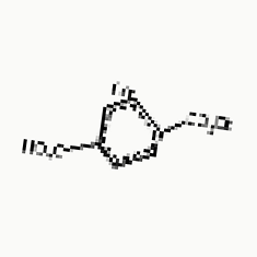 CCOC(=O)c1ccc(C(=O)O)cc1.[Co]